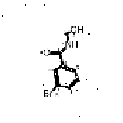 O=C(NCO)c1cccc(Br)c1